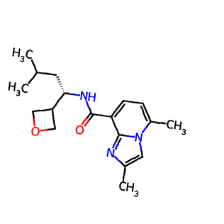 Cc1cn2c(C)ccc(C(=O)N[C@@H](CC(C)C)C3COC3)c2n1